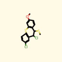 COc1ccc2c(c1)Sc1ccc(Cl)cc1C(Cl)C2SC